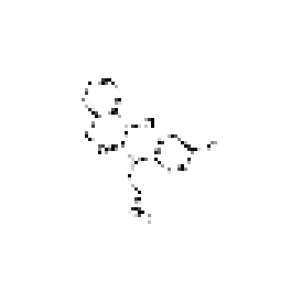 C=CCN(C(=O)C(Cl)c1ccccc1Cl)c1ccc(Cl)cc1